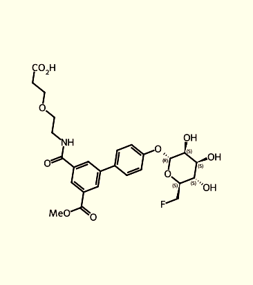 COC(=O)c1cc(C(=O)NCCOCCC(=O)O)cc(-c2ccc(O[C@H]3O[C@H](CF)[C@@H](O)[C@H](O)[C@@H]3O)cc2)c1